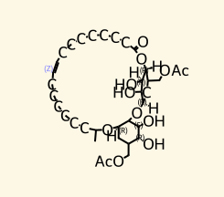 CC(=O)OCC1C[C@H]2OC(C)CCCCCC/C=C\CCCCCCCC(=O)O[C@@H]3C(COC(C)=O)C[C@@H](OC2[C@@H](O)[C@@H]1O)C(O)[C@H]3O